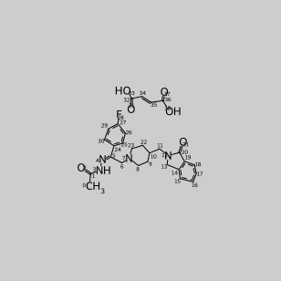 CC(=O)N/N=C(\CN1CCC(CN2Cc3ccccc3C2=O)CC1)c1ccc(F)cc1.O=C(O)/C=C/C(=O)O